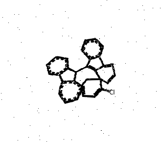 ClC1=CC=CCC12C=C[C]=C1C2=C(C2c3ccccc3-c3ccccc32)c2ccccc21